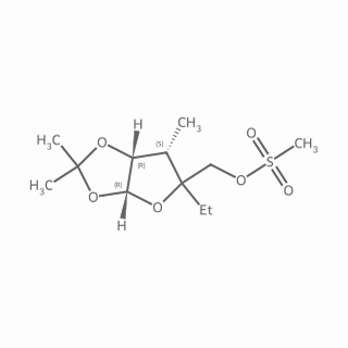 CCC1(COS(C)(=O)=O)O[C@@H]2OC(C)(C)O[C@@H]2[C@@H]1C